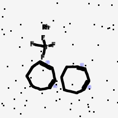 C1=C\CCCC\C=C/1.C1=C\CCCC\C=C/1.F[B-](F)(F)F.[Rh]